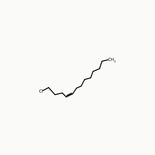 CCCCCCCC/C=C\CCCCl